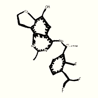 Cc1nc(N[C@H](C)c2cccc(C(F)F)c2F)c2cc(O)c3c(c2n1)CCO3